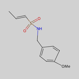 CC=CS(=O)(=O)NCc1ccc(OC)cc1